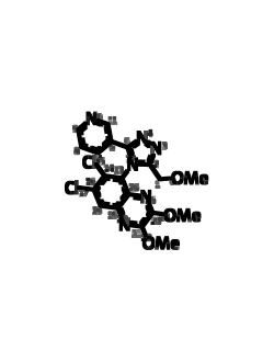 COCc1nnc(-c2cccnc2)n1-c1c(Cl)c(Cl)cc2nc(OC)c(OC)nc12